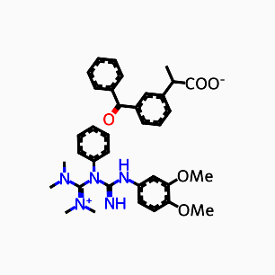 CC(C(=O)[O-])c1cccc(C(=O)c2ccccc2)c1.COc1ccc(NC(=N)N(C(N(C)C)=[N+](C)C)c2ccccc2)cc1OC